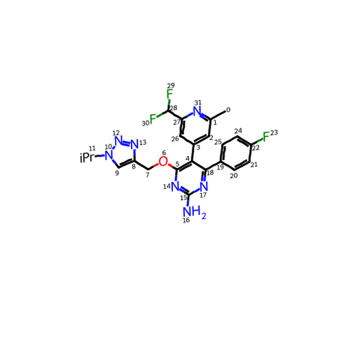 Cc1cc(-c2c(OCc3cn(C(C)C)nn3)nc(N)nc2-c2ccc(F)cc2)cc(C(F)F)n1